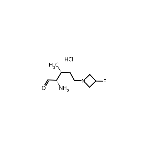 C[C@H](CCN1CC(F)C1)[C@H](N)C=O.Cl